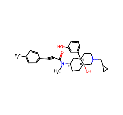 CN(C(=O)C#Cc1ccc(C(F)(F)F)cc1)[C@H]1CC[C@]2(O)CN(CC3CC3)CC[C@@]2(c2cccc(O)c2)C1